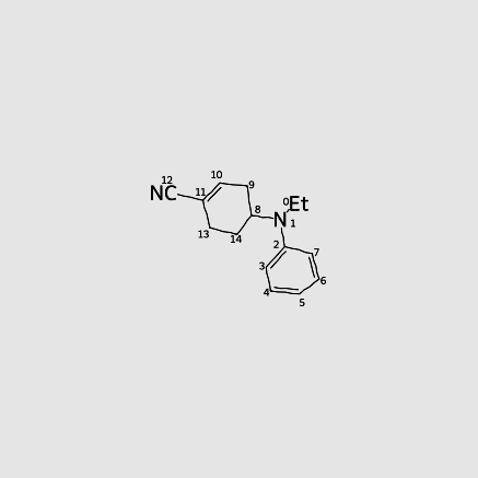 CCN(c1ccccc1)C1CC=C(C#N)CC1